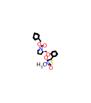 CN1C(=O)SC(c2ccccc2OC[C@H]2CCCN2C(=O)OCc2ccccc2)C1=O